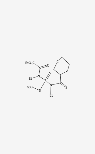 CCCCSP(=S)(N(CC)C(=O)C(=O)OCC)N(CC)C(=S)C1CCCCC1